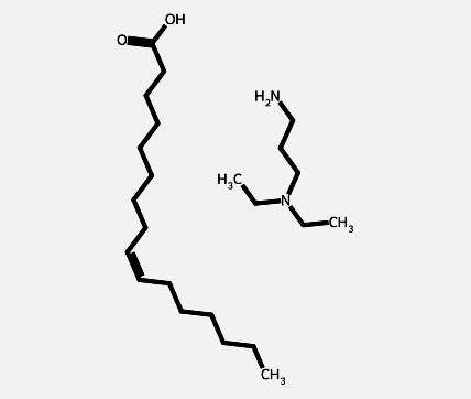 CCCCCC/C=C\CCCCCCCC(=O)O.CCN(CC)CCCN